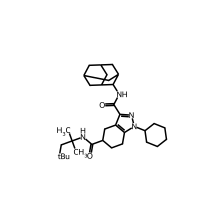 CC(C)(C)CC(C)(C)NC(=O)C1CCc2c(c(C(=O)NC3C4CC5CC(C4)CC3C5)nn2C2CCCCC2)C1